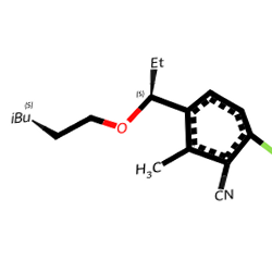 CC[C@H](C)CCO[C@@H](CC)c1ccc(F)c(C#N)c1C